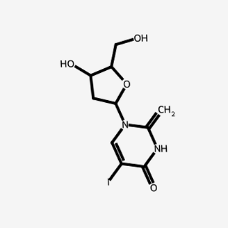 C=C1NC(=O)C(I)=CN1C1CC(O)C(CO)O1